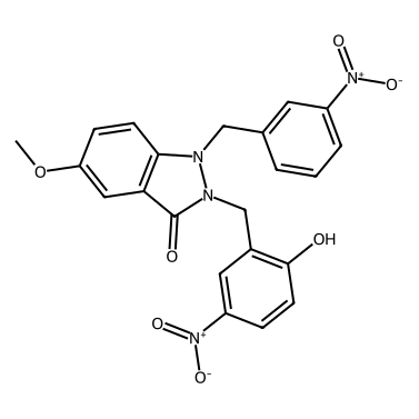 COc1ccc2c(c1)c(=O)n(Cc1cc([N+](=O)[O-])ccc1O)n2Cc1cccc([N+](=O)[O-])c1